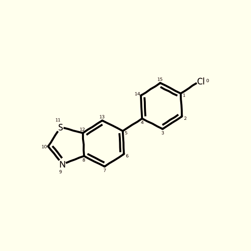 Clc1ccc(-c2ccc3ncsc3c2)cc1